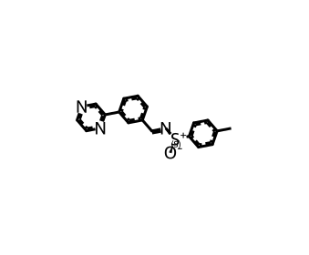 Cc1ccc([S@@+]([O-])N=Cc2cccc(-c3cnccn3)c2)cc1